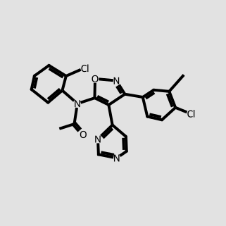 CC(=O)N(c1ccccc1Cl)c1onc(-c2ccc(Cl)c(C)c2)c1-c1ccncn1